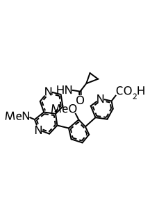 CNc1ncc(-c2cccc(-c3ccc(C(=O)O)nc3)c2OC)c2cc(NC(=O)C3CC3)ncc12